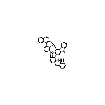 B1c2cccc3c2C2C(c4ccc5ccccc5c4-3)C2c2c1c(-c1cccc3c1Nc1ccccc1S3)cc1sc3ccccc3c21